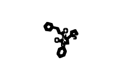 O=C(C=Cc1ccccc1)n1c(-c2cccs2)cn(-c2ccccc2)c1=O